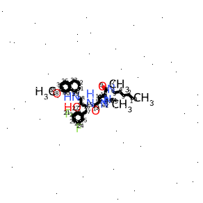 CCCCCCN(C)C(=O)c1cc(C(=O)N[C@@H](Cc2cc(F)cc(F)c2)[C@H](O)CN[C@H]2CCCc3ccc(OC)cc32)nn1CC